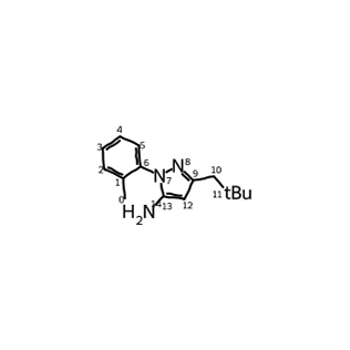 Cc1ccccc1-n1nc(CC(C)(C)C)cc1N